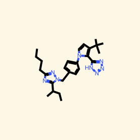 CCCCc1nc(C(C)CC)n(Cc2ccc(-n3ccc(C(C)(C)C)c3-c3nnn[nH]3)cc2)n1